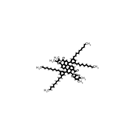 CCCCCCCCCCc1cc(CCCCCCCCCC)cc(-c2cc3c(=O)n4c(C)c(C)nc4c4ccc5c6c(-c7cc(CCCCCCCCCC)cc(CCCCCCCCCC)c7)cc7c8c(ccc(c2c5c34)c68)c(=O)n2c3nc(C)c(C)cc3nc72)c1